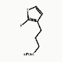 CCCCCCCCc1ccsc1[P]